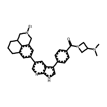 CCN1Cc2cc(-c3cnc4[nH]cc(-c5ccc(C(=O)N6CC(N(C)C)C6)cc5)c4c3)cc3c2C(CCC3)C1